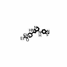 CCN(C)C(=O)N1CC=C(c2cc3c(Nc4ccc5ncsc5c4)ccnc3[nH]2)CC1